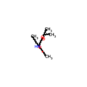 CCCCCCCCCCONC(CCCCCCCCCC)CCCCCCC(=O)OCCC(CCCCC)CCCCC